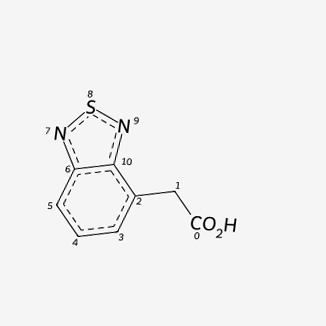 O=C(O)Cc1cccc2nsnc12